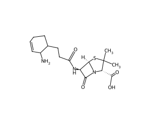 CC1(C)S[C@@H]2[C@H](NC(=O)CCC3CCC=CC3N)C(=O)N2[C@H]1C(=O)O